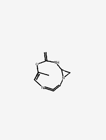 C=C1NC2CN2C=C=N/C=C(\C)O1